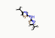 CC(C)c1csc(Nc2nc(C(C)C)cs2)n1